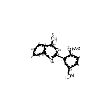 COc1ccc(C#N)cc1-c1nc(O)c2ccccc2n1